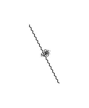 CCCCCCCCCCCCCCCCCCS(CCCCCCCCCCCCCCCCCC)=P([O-])([O-])[S-].[Ni+3]